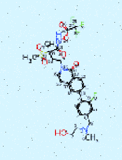 CN(CCO)Cc1ccc(-c2ccc3c(=O)n(CC[C@](C)(C(=O)NOC(=O)C(F)(F)F)S(C)(=O)=O)ccc3c2)c(F)c1